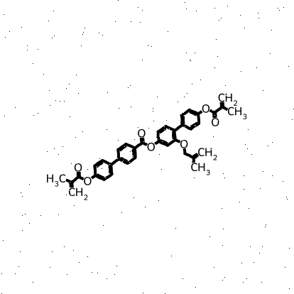 C=C(C)COc1cc(OC(=O)c2ccc(-c3ccc(OC(=O)C(=C)C)cc3)cc2)ccc1-c1ccc(OC(=O)C(=C)C)cc1